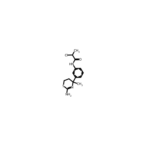 CC(Cl)C(=O)Nc1cccc(C2(C)CCSC(N)=N2)c1